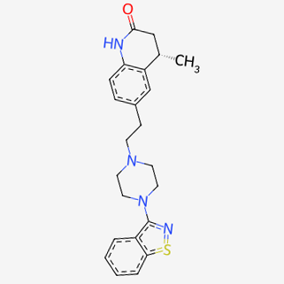 C[C@H]1CC(=O)Nc2ccc(CCN3CCN(c4nsc5ccccc45)CC3)cc21